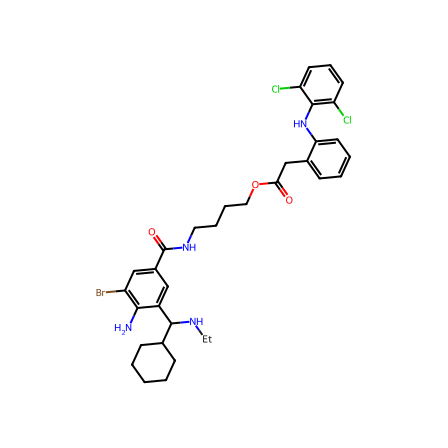 CCNC(c1cc(C(=O)NCCCCOC(=O)Cc2ccccc2Nc2c(Cl)cccc2Cl)cc(Br)c1N)C1CCCCC1